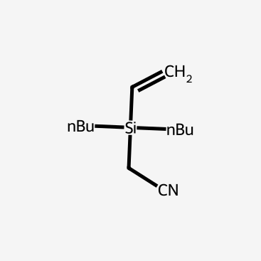 C=C[Si](CC#N)(CCCC)CCCC